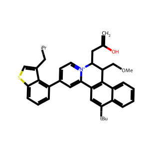 C=C(O)CC1C(COC)c2c(cc(C(C)(C)C)c3ccccc23)-c2cc(-c3cccc4scc(CC(C)C)c34)cc[n+]21